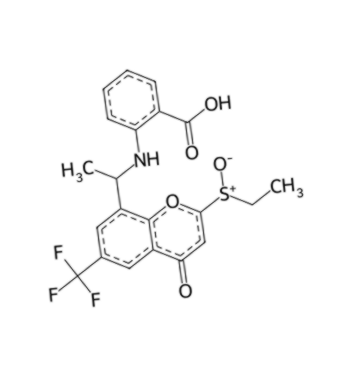 CC[S+]([O-])c1cc(=O)c2cc(C(F)(F)F)cc(C(C)Nc3ccccc3C(=O)O)c2o1